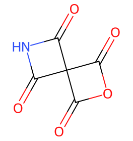 O=C1NC(=O)C12C(=O)OC2=O